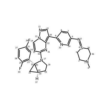 CN1CCS(=Nc2ccc(-c3cnn4ccc(N5CC[C@H]6C[C@]65c5cc(F)ccc5F)nc34)nc2)CC1